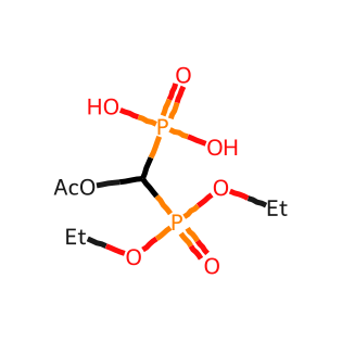 CCOP(=O)(OCC)C(OC(C)=O)P(=O)(O)O